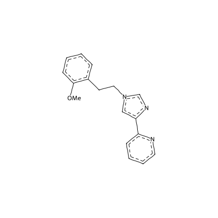 COc1ccccc1CCn1cnc(-c2ccccn2)c1